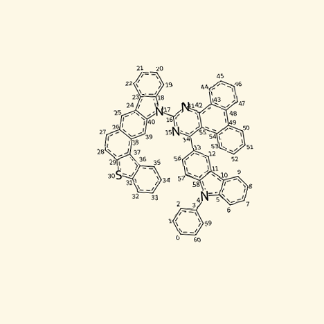 c1ccc(-n2c3ccccc3c3cc(-c4nc(-n5c6ccccc6c6cc7ccc8sc9ccccc9c8c7cc65)nc5c6ccccc6c6ccccc6c45)ccc32)cc1